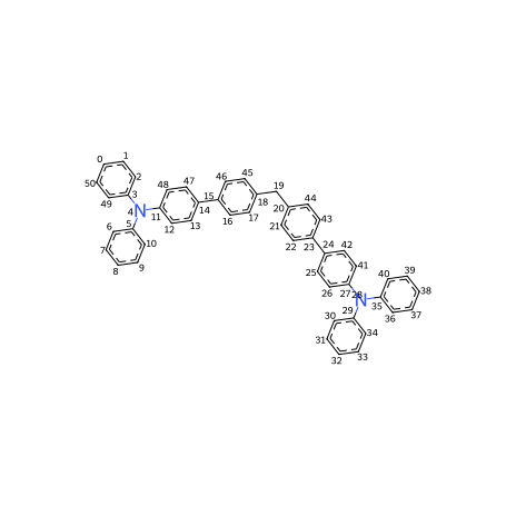 c1ccc(N(c2ccccc2)c2ccc(-c3ccc(Cc4ccc(-c5ccc(N(c6ccccc6)c6ccccc6)cc5)cc4)cc3)cc2)cc1